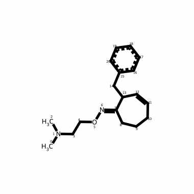 CN(C)CCO/N=C1\CCCC=CC1Cc1ccccc1